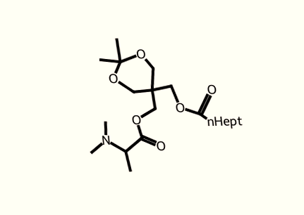 CCCCCCCC(=O)OCC1(COC(=O)C(C)N(C)C)COC(C)(C)OC1